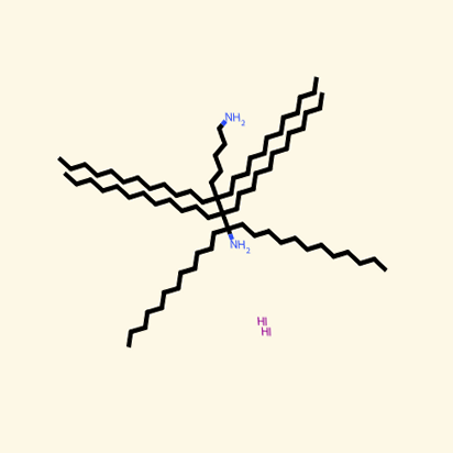 CCCCCCCCCCCCC(N)(CCCCCCCCCCCC)C(CCCCCCCCCCCC)(CCCCCCCCCCCC)C(CCCCCN)(CCCCCCCCCCCC)CCCCCCCCCCCC.I.I